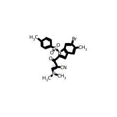 Cc1ccc(S(=O)(=O)n2c(C(=O)/C(C#N)=C/N(C)C)cc3cc(C)c(Br)cc32)cc1